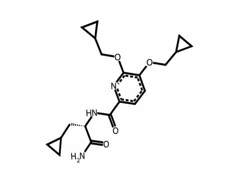 NC(=O)[C@H](CC1CC1)NC(=O)c1ccc(OCC2CC2)c(OCC2CC2)n1